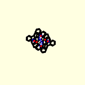 c1ccc([Si]2(c3ccccc3)N(c3cccc4c5ccccc5n(-c5cccc(-n6c7ccccc7c7ccccc76)c5)c34)[Si](c3ccccc3)(c3ccccc3)N2c2cccc3c4ccccc4n(-c4cccc(-n5c6ccccc6c6ccccc65)c4)c23)cc1